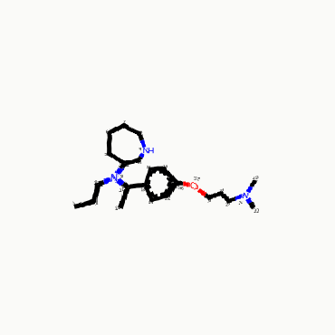 CCCN(C1CCCCNC1)C(C)c1ccc(OCCCN(C)C)cc1